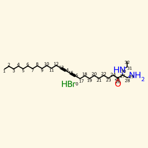 Br.CCCCCCCCCCCCC#CC#CCCCCCCCCC(=O)C(CN)NCC